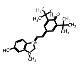 CN1C[Te](=CC=C2C=C(C(C)(C)C)C(=O)C(C(C)(C)C)=C2)c2ccc(O)cc21